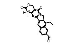 CCc1c2c(nc3ccc(N=O)cc13)-c1cc3c(c(=O)n1C2)COC(=O)[C@]3(C)I